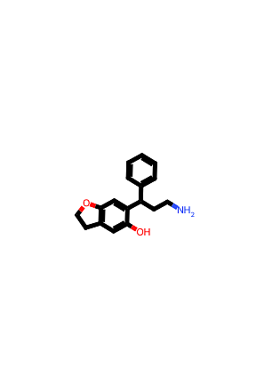 NCCC(c1ccccc1)c1cc2c(cc1O)CCO2